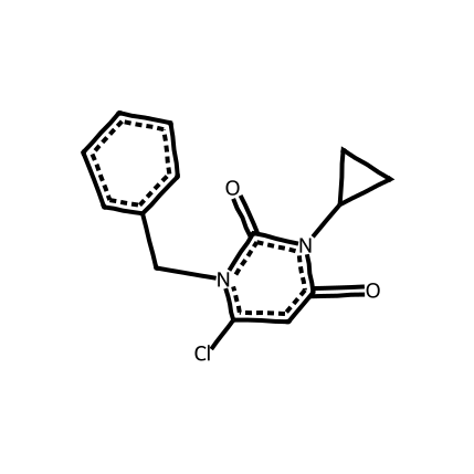 O=c1cc(Cl)n(Cc2ccccc2)c(=O)n1C1CC1